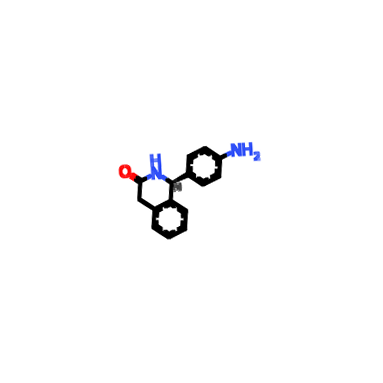 Nc1ccc([C@@H]2NC(=O)Cc3ccccc32)cc1